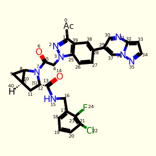 CC(=O)c1nn(CC(=O)N2C3C[C@@H]3C[C@H]2C(=O)NCc2cccc(Cl)c2F)c2ccc(-c3cnc4ccnn4c3)cc12